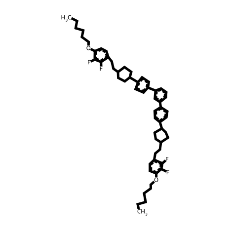 CCCCCCOc1ccc(CCC2CCC(c3ccc(-c4cccc(-c5ccc(C6CCC(CCc7ccc(OCCCCCC)c(F)c7F)CC6)cc5)c4)cc3)CC2)c(F)c1F